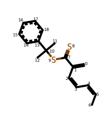 C=C(/C=C\C=C/C)C(=S)SC(C)(C)c1ccccc1